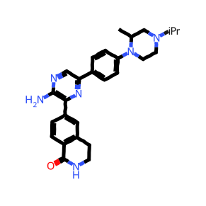 CC(C)N1CCN(c2ccc(-c3cnc(N)c(-c4ccc5c(c4)CCNC5=O)n3)cc2)C(C)C1